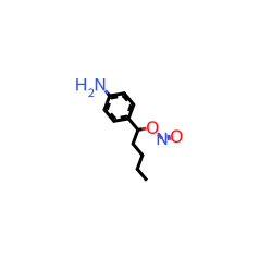 CCCCC(ON=O)c1ccc(N)cc1